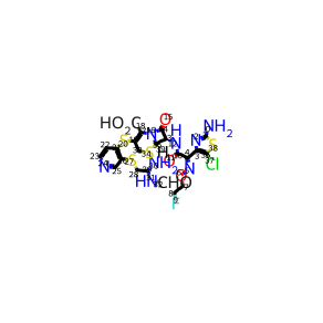 Nc1nc(/C(=N/OCCF)C(=O)N[C@@H]2C(=O)N3C(C(=O)O)=C(Sc4ccncc4SCC(N)NC=O)CS[C@@H]23)c(Cl)s1